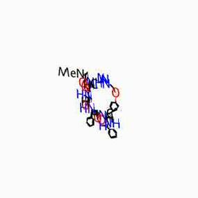 CN[C@@H](C)C(=O)N[C@H]1Cc2cn(nn2)CCOc2ccc(cc2)C[C@@H](C(=O)NCc2ccccc2)NC(=O)[C@H](Cc2ccccc2)NC(=O)[C@H](C)NC1=O